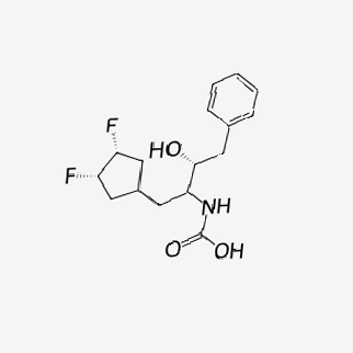 O=C(O)NC(CC1C[C@@H](F)[C@@H](F)C1)[C@H](O)Cc1ccccc1